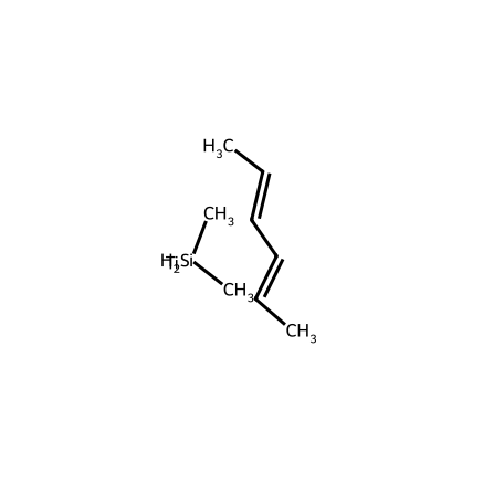 CC=CC=CC.C[SiH2]C.[Ti]